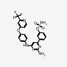 Nc1nc(Nc2ccc(Oc3ccnc(C(F)(F)F)c3)cc2)cc(-c2cccc(OS(N)(=O)=O)c2)n1